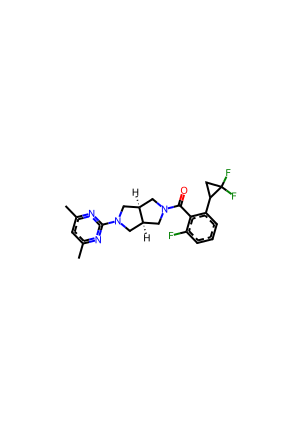 Cc1cc(C)nc(N2C[C@H]3CN(C(=O)c4c(F)cccc4C4CC4(F)F)C[C@H]3C2)n1